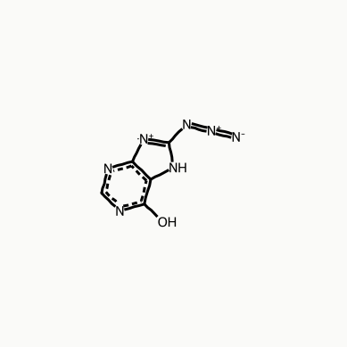 [N-]=[N+]=NC1=[N+]c2ncnc(O)c2N1